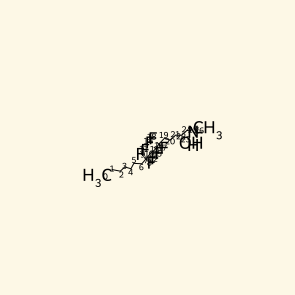 CCCCCCCC(F)(F)C(F)(F)C(F)(F)C(F)(F)CCCC(O)CNC